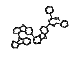 N/C(=N\C(=N/Cc1ccccc1)c1ccc2c(c1)oc1cccc(-c3ccc4sc5cccc(-n6c7ccccc7c7ccccc76)c5c4c3)c12)c1ccccc1